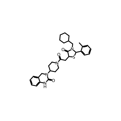 Cc1ccccc1C1SC(CC(=O)N2CCC(N3Cc4ccccc4NC3=O)CC2)C(=O)N1CC1CCCCC1